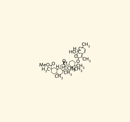 C=C(C)/C=C\C(C(=O)O)=C(/C)C(=O)O[C@H]1CC[C@]2(CC)[C@H]3C(=O)CC4[C@H]5C[C@@](C)(C(=O)OC)CC[C@]5(C)CC[C@@]4(C)[C@]3(C)CC[C@H]2C1(C)C